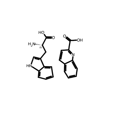 N[C@@H](Cc1c[nH]c2ccccc12)C(=O)O.O=C(O)c1ccc2ccccc2n1